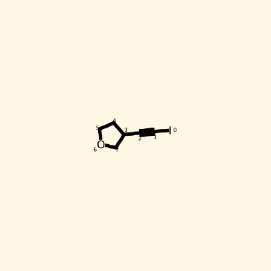 IC#CC1CCOC1